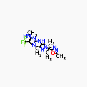 CNc1nc(Nc2cn(C(C)(C)c3nnc(C)o3)nc2C)ncc1C(F)(F)F